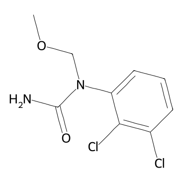 COCN(C(N)=O)c1cccc(Cl)c1Cl